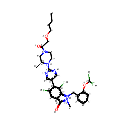 CCCCOCC(=O)N1CCN(c2ncc(-c3c(F)cc4c(=O)n(C)n(Cc5ccccc5OC(F)F)c4c3F)cn2)[C@H](C)C1